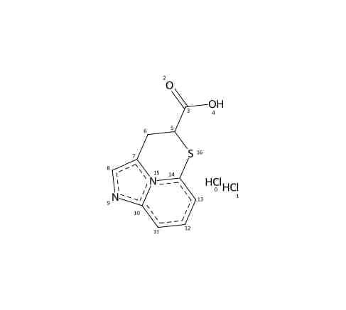 Cl.Cl.O=C(O)C1Cc2cnc3cccc(n23)S1